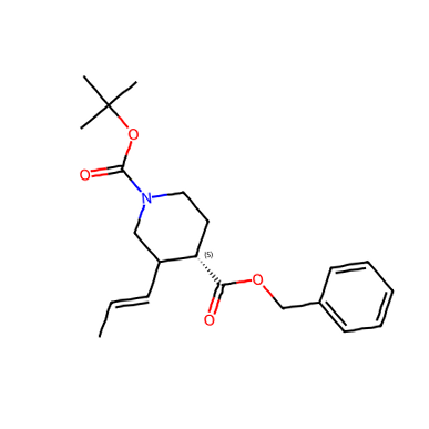 CC=CC1CN(C(=O)OC(C)(C)C)CC[C@@H]1C(=O)OCc1ccccc1